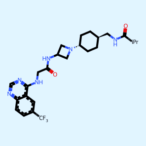 CC(C)C(=O)NC[C@H]1CC[C@H](N2CC(NC(=O)CNc3ncnc4ccc(C(F)(F)F)cc34)C2)CC1